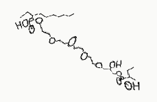 CCCCCCCC(CC)P(=O)(O)OCCOCCOCCOCCOCC(O)COP(=O)(O)C(C)CC